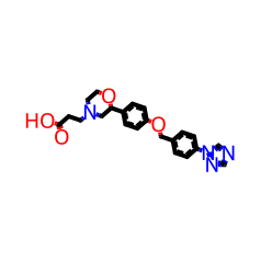 O=C(O)CCN1CCOC(c2ccc(OCc3ccc(-n4cncn4)cc3)cc2)C1